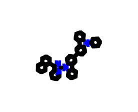 c1ccc(-n2c3ccccc3c3cc(-c4ccc5c(c4)c4ccccc4n5-c4nc(-c5cccc6ccccc56)c5ccccn45)ccc32)cc1